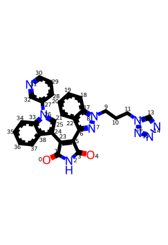 O=C1NC(=O)C(c2nn(CCCn3cnnn3)c3ccccc23)=C1c1cn(-c2cccnc2)c2ccccc12